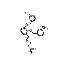 Cc1cccc(COc2cccc(/C=N/OCC(=O)O)c2OCc2cccc(C)c2)c1